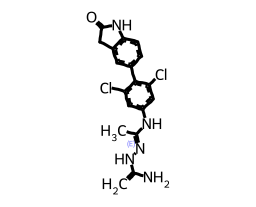 C=C(N)N/N=C(\C)Nc1cc(Cl)c(-c2ccc3c(c2)CC(=O)N3)c(Cl)c1